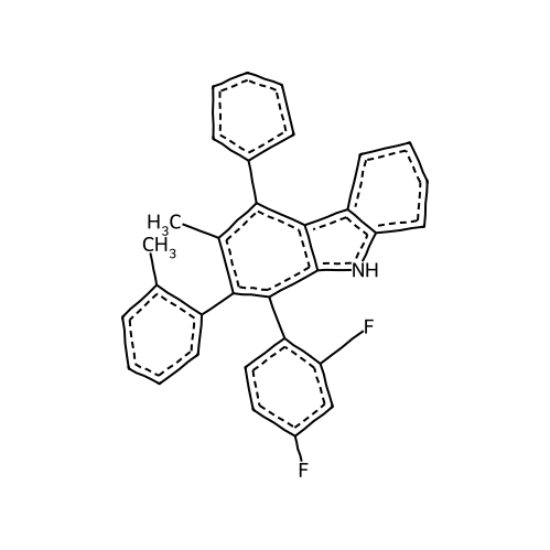 Cc1ccccc1-c1c(C)c(-c2ccccc2)c2c([nH]c3ccccc32)c1-c1ccc(F)cc1F